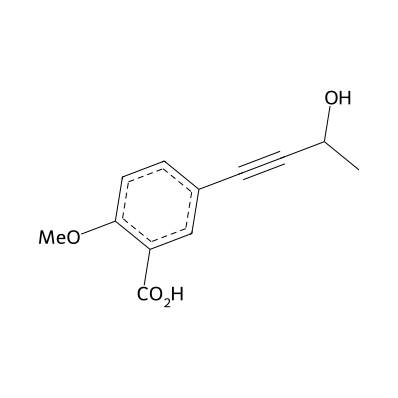 COc1ccc(C#CC(C)O)cc1C(=O)O